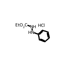 CCOC(=O)NNc1ccccc1.Cl